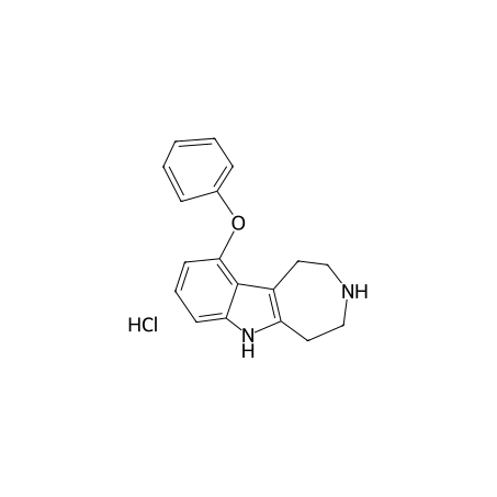 Cl.c1ccc(Oc2cccc3[nH]c4c(c23)CCNCC4)cc1